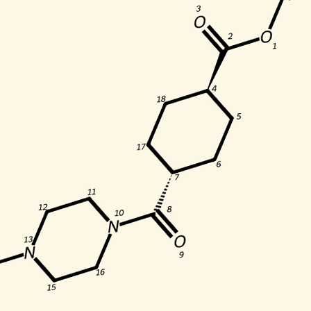 COC(=O)[C@H]1CC[C@H](C(=O)N2CCN(C)CC2)CC1